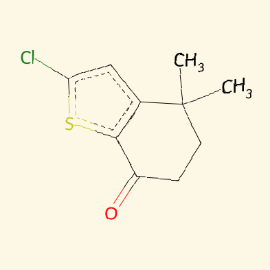 CC1(C)CCC(=O)c2sc(Cl)cc21